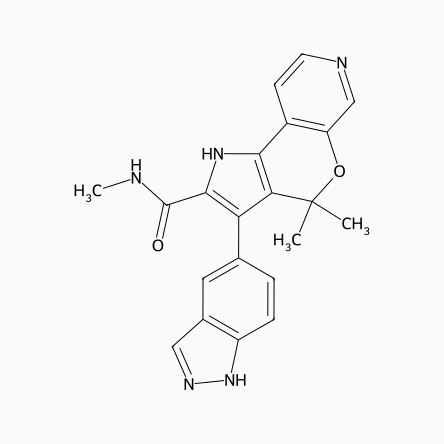 CNC(=O)c1[nH]c2c(c1-c1ccc3[nH]ncc3c1)C(C)(C)Oc1cnccc1-2